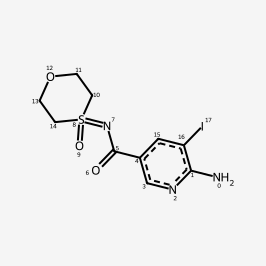 Nc1ncc(C(=O)N=S2(=O)CCOCC2)cc1I